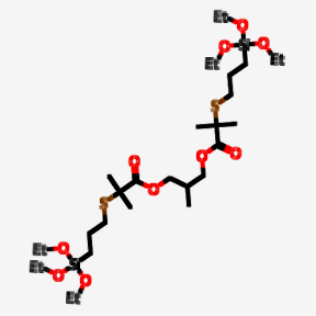 CCO[Si](CCCSC(C)(C)C(=O)OCC(C)COC(=O)C(C)(C)SCCC[Si](OCC)(OCC)OCC)(OCC)OCC